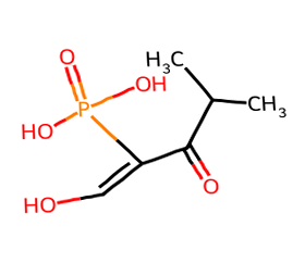 CC(C)C(=O)C(=CO)P(=O)(O)O